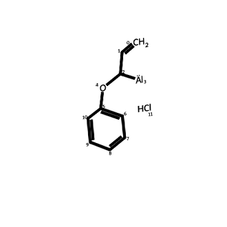 C=C[CH]([Al])Oc1ccccc1.Cl